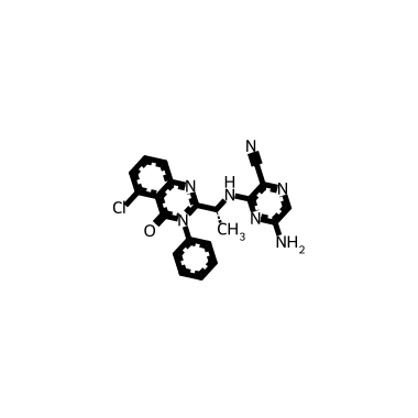 C[C@@H](Nc1nc(N)cnc1C#N)c1nc2cccc(Cl)c2c(=O)n1-c1ccccc1